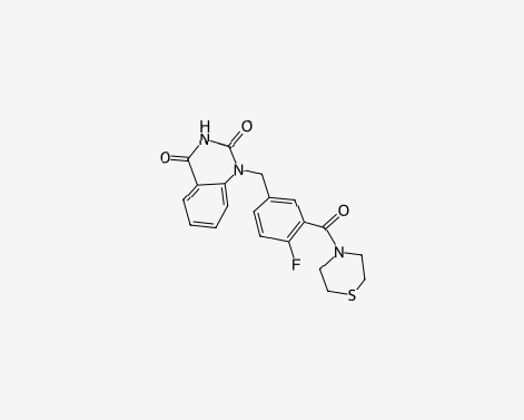 O=C(c1cc(Cn2c(=O)[nH]c(=O)c3ccccc32)ccc1F)N1CCSCC1